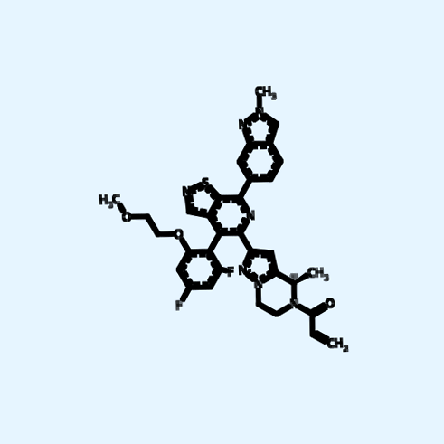 C=CC(=O)N1CCn2nc(-c3nc(-c4ccc5cn(C)nc5c4)c4sncc4c3-c3c(F)cc(F)cc3OCCOC)cc2[C@H]1C